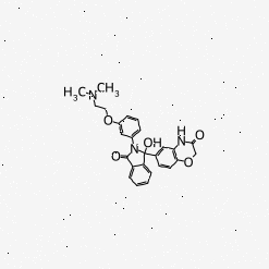 CN(C)CCOc1cccc(N2C(=O)c3ccccc3C2(O)c2ccc3c(c2)NC(=O)CO3)c1